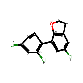 Clc1ccc(-c2cc(Cl)cc3c2O[CH]C3)c(Cl)c1